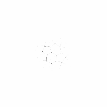 CC1(C)N2C(C)(C)C(C)(C)N3C(C)(C)C(C)(C)N4C(C)(C)C(C)(C)N(C1(C)C)C2(C)C34C